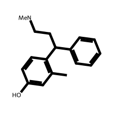 CNCCC(c1ccccc1)c1ccc(O)cc1C